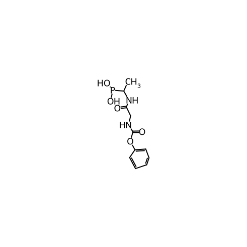 CC(NC(=O)CNC(=O)Oc1ccccc1)P(O)O